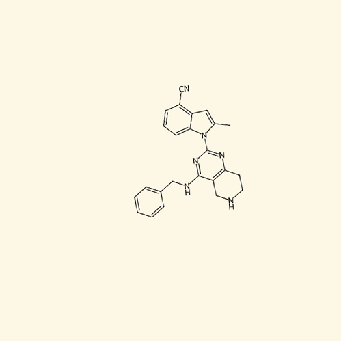 Cc1cc2c(C#N)cccc2n1-c1nc2c(c(NCc3ccccc3)n1)CNCC2